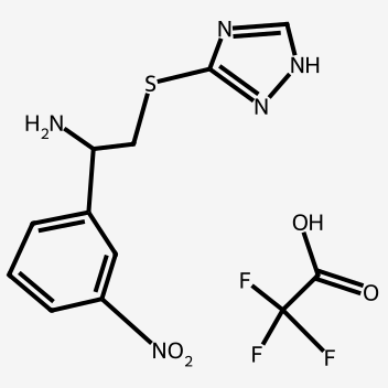 NC(CSc1nc[nH]n1)c1cccc([N+](=O)[O-])c1.O=C(O)C(F)(F)F